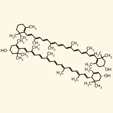 CC1=C(/C=C/C(C)=C/C=C/C(C)=C/C=C/C=C(C)/C=C/C=C(C)/C=C/C2=C(C)C[C@@H](O)CC2(C)C)C(C)(C)CCC1.CC1=C[C@H](O)CC(C)(C)[C@H]1/C=C/C(C)=C/C=C/C(C)=C/C=C/C=C(C)/C=C/C=C(C)/C=C/C1=C(C)C[C@@H](O)CC1(C)C